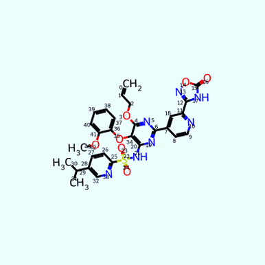 C=CCOc1nc(-c2ccnc(-c3noc(=O)[nH]3)c2)nc(NS(=O)(=O)c2ccc(C(C)C)cn2)c1Oc1ccccc1OC